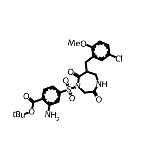 COc1ccc(Cl)cc1CC1CNC(=O)CN(S(=O)(=O)c2ccc(C(=O)OC(C)(C)C)c(N)c2)C1=O